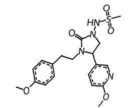 COc1ccc(CCN2C(=O)N(NS(C)(=O)=O)CC2c2ccc(OC)nc2)cc1